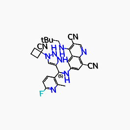 Cc1nc(F)ccc1[C@H](Nc1cc(C#N)c2ncc(C#N)c(NCC(C)(C)C)c2c1)C1=CN(C2(C#N)CCC2)NN1